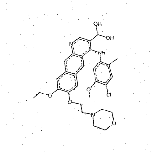 CCOc1cc2cc3ncc(C(O)O)c(Nc4cc(OC)c(Cl)cc4C)c3cc2cc1OCCN1CCOCC1